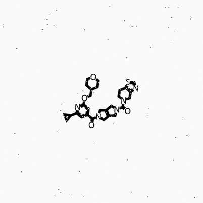 O=C(c1cc(OCC2CCOCC2)nc(C2CC2)c1)N1CC2=C(C1)CN(C(=O)N1CCc3scnc3C1)C2